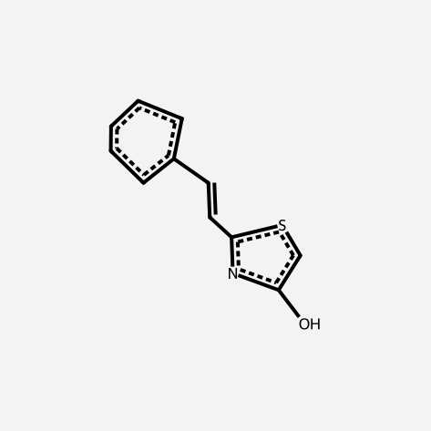 Oc1csc(C=Cc2ccccc2)n1